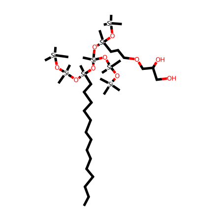 CCCCCCCCCCCCCC[Si](C)(O[Si](C)(C)O[Si](C)(C)C)O[Si](C)(O[Si](C)(C)O[Si](C)(C)C)O[Si](C)(CCCOCC(O)CO)O[Si](C)(C)C